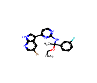 COCOC(C)(Nc1nccc(-c2c[nH]c3ncc(Br)cc23)n1)c1cccc(F)c1